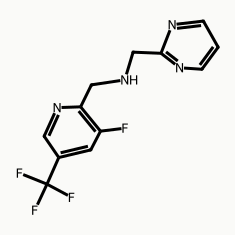 Fc1cc(C(F)(F)F)cnc1CNCc1ncccn1